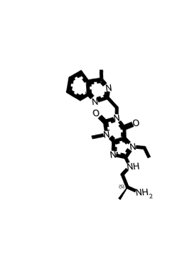 CCn1c(NC[C@H](C)N)nc2c1c(=O)n(Cc1nc(C)c3ccccc3n1)c(=O)n2C